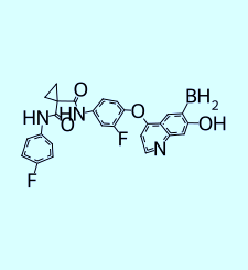 Bc1cc2c(Oc3ccc(NC(=O)C4(C(=O)Nc5ccc(F)cc5)CC4)cc3F)ccnc2cc1O